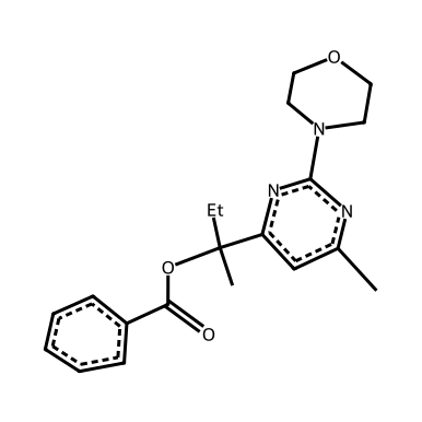 CCC(C)(OC(=O)c1ccccc1)c1cc(C)nc(N2CCOCC2)n1